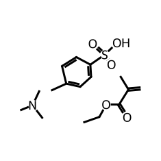 C=C(C)C(=O)OCC.CN(C)C.Cc1ccc(S(=O)(=O)O)cc1